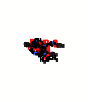 C=C(C)OC(=O)N[C@@H]1CC=C(CNCC2CC2)O[C@@H]1C1[C@@H](NC(=O)OC(C)(C)C)C[C@@H](NC(=O)C(O)C2CN(C(=O)OC(C)(C)C)C2)[C@H](O[C@H]2OC[C@](C)(O)[C@H](N(C)C(=O)OC(C)(C)C)[C@H]2O)[C@H]1O